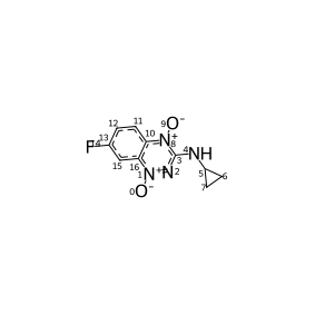 [O-][n+]1nc(NC2CC2)[n+]([O-])c2ccc(F)cc21